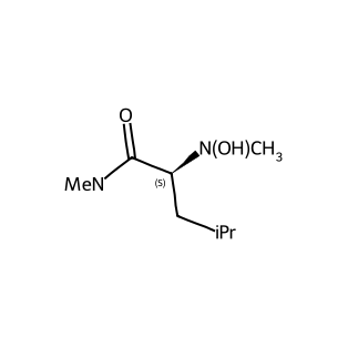 CNC(=O)[C@H](CC(C)C)N(C)O